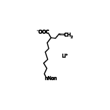 C=CCC(CCCCCCCCCCCCCCCC)C(=O)[O-].[Li+]